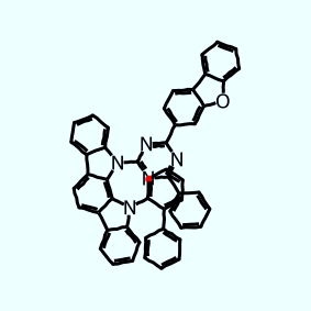 c1ccc(-c2nc(-c3ccc4c(c3)oc3ccccc34)nc(-n3c4ccccc4c4ccc5c6ccccc6n(-c6ccccc6-c6ccccc6)c5c43)n2)cc1